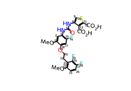 COc1cc(NC(=O)Nc2csc(C(=O)O)c2C(=O)O)c(F)cc1OCCc1c(OC)ccc(F)c1F